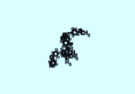 COc1ccc(CN2Cc3c(ccc(Nc4cc([C@H]5CC[C@@H](Oc6cccnc6)C5)nn4C(C)(C)C)c3F)S2(=O)=O)cc1